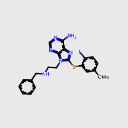 COc1ccc(I)c(Sc2nc3c(N)ncnc3n2CCNCc2ccccc2)c1